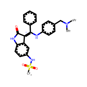 CCCN(CCC)Cc1ccc(N/C(=C2/C(=O)Nc3ccc(NS(=O)(=O)C(F)(F)F)cc32)c2ccccc2)cc1